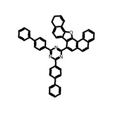 C1=Cc2c(ccc3c2oc2c3c(-c3nc(-c4ccc(-c5ccccc5)cc4)nc(-c4ccc(-c5ccccc5)cc4)n3)cc3ccc4ccccc4c32)CC1